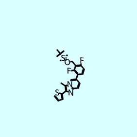 Cc1c(-c2cccs2)nc2ccc(-c3ccc(F)c(CO[Si](C)(C)C(C)(C)C)c3F)cn12